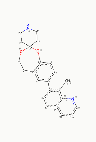 Cc1c(-c2ccc3c(c2)CCOC2(CCNCC2)O3)ccc2cccnc12